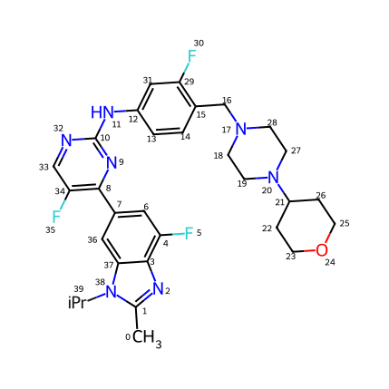 Cc1nc2c(F)cc(-c3nc(Nc4ccc(CN5CCN(C6CCOCC6)CC5)c(F)c4)ncc3F)cc2n1C(C)C